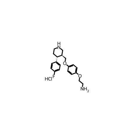 Cl.NCCOc1ccc(OC[C@@H]2CNCC[C@H]2c2ccc(F)cc2)cc1